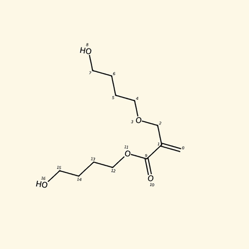 C=C(COCCCCO)C(=O)OCCCCO